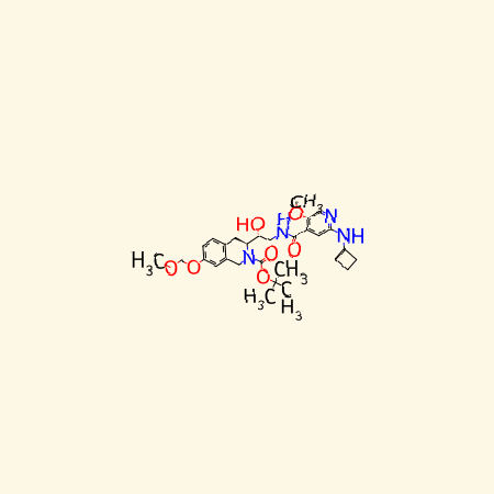 COCOc1ccc2c(c1)CN(C(=O)OC(C)(C)C)[C@H]([C@H](O)CNC(=O)c1cc(NC3CCC3)ncc1OC)C2